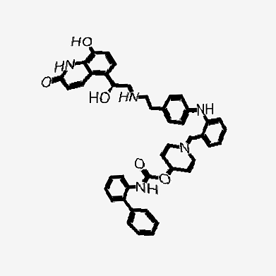 O=C(Nc1ccccc1-c1ccccc1)OC1CCN(Cc2ccccc2Nc2ccc(CCNC[C@@H](O)c3ccc(O)c4[nH]c(=O)ccc34)cc2)CC1